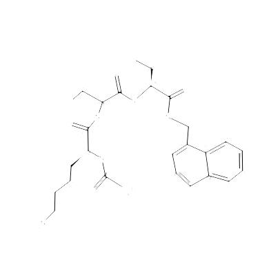 CC(=O)N[C@@H](CCCCN)C(=O)NC(CS)C(=O)N[C@@H](CO)C(=O)NCc1cccc2ccccc12